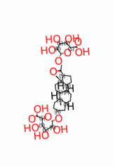 C[C@]12CC[C@@H](OC3O[C@H](C(=O)O)[C@@H](O)[C@H](O)[C@H]3O)C[C@@H]1CC[C@@H]1[C@@H]2CC[C@]2(C)[C@@H](C(=O)COC3O[C@H](C(=O)O)[C@@H](O)[C@H](O)[C@H]3O)CC[C@@H]12